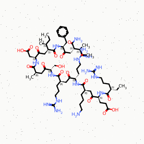 CC[C@@H](CCCNC(=N)N)C(=O)N[C@@H](CCC(=O)O)C(=O)C[C@@H](CCCCN)C(=O)N[C@@H](CCCNC(=N)N)C(=O)C[C@@H](CCCNC(=N)N)C(=O)N[C@@H](CO)C(=O)C[C@@H](C)C(=O)N[C@@H](CC(=O)O)C(=O)C[C@H](C(=O)N[C@@H](Cc1ccccc1)C(=O)C[C@H](C(N)=O)[C@@H](C)CC)[C@@H](C)CC